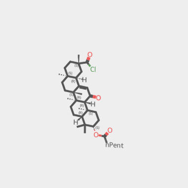 CCCCCC(=O)O[C@H]1CC[C@]2(C)[C@H]3C(=O)C=C4[C@@H]5C[C@@](C)(C(=O)Cl)CC[C@]5(C)CC[C@@]4(C)[C@]3(C)CC[C@H]2C1(C)C